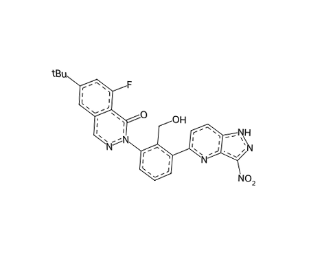 CC(C)(C)c1cc(F)c2c(=O)n(-c3cccc(-c4ccc5[nH]nc([N+](=O)[O-])c5n4)c3CO)ncc2c1